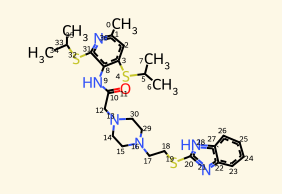 Cc1cc(SC(C)C)c(NC(=O)CN2CCN(CCSc3nc4ccccc4[nH]3)CC2)c(SC(C)C)n1